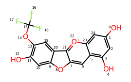 Oc1cc(O)c2cc3oc4cc(O)c(OC(F)(F)F)cc4c3[o+]c2c1